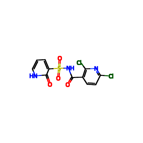 O=C(NS(=O)(=O)c1ccc[nH]c1=O)c1ccc(Cl)nc1Cl